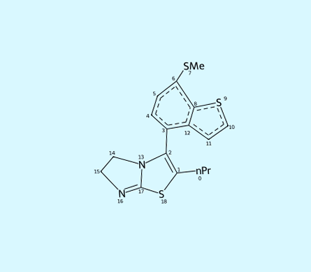 CCCC1=C(c2ccc(SC)c3sccc23)N2CCN=C2S1